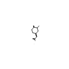 CC1C/C(=C/C(=O)OC(C)(C)C)CCC1=O